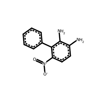 Nc1ccc([N+](=O)[O-])c(-c2ccccc2)c1N